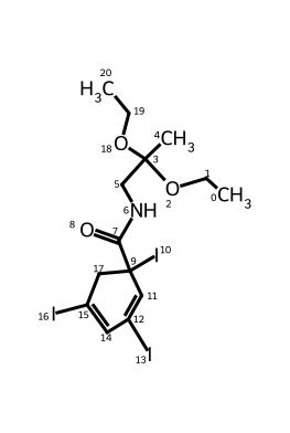 CCOC(C)(CNC(=O)C1(I)C=C(I)C=C(I)C1)OCC